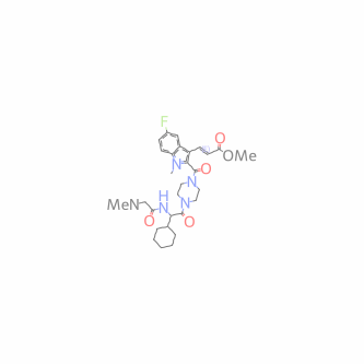 CNCC(=O)NC(C(=O)N1CCN(C(=O)c2c(/C=C/C(=O)OC)c3cc(F)ccc3n2C)CC1)C1CCCCC1